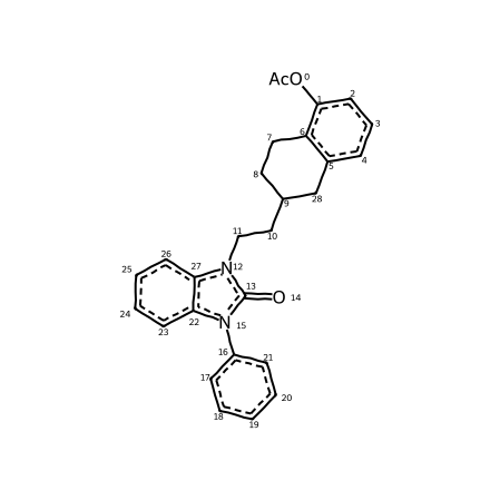 CC(=O)Oc1cccc2c1CCC(CCn1c(=O)n(-c3ccccc3)c3ccccc31)C2